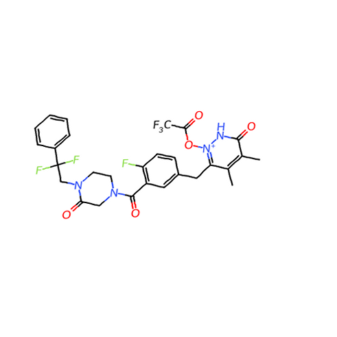 Cc1c(C)c(=O)[nH][n+](OC(=O)C(F)(F)F)c1Cc1ccc(F)c(C(=O)N2CCN(CC(F)(F)c3ccccc3)C(=O)C2)c1